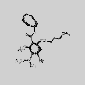 CCCCOc1cc(Br)c(N(C)C)c(C)c1C(=O)Oc1ccccc1